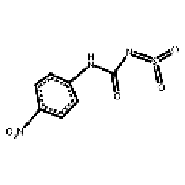 O=C(N=S(=O)=O)Nc1ccc([N+](=O)[O-])cc1